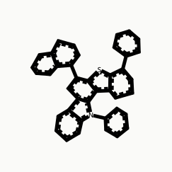 c1ccc(-c2cccc3c2sc2c(-c4cccc5ccccc45)cc4c5ccccc5n(-c5ccccc5)c4c23)cc1